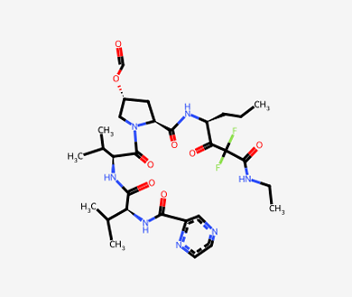 CCC[C@H](NC(=O)[C@@H]1C[C@@H](OC=O)CN1C(=O)[C@@H](NC(=O)[C@@H](NC(=O)c1cnccn1)C(C)C)C(C)C)C(=O)C(F)(F)C(=O)NCC